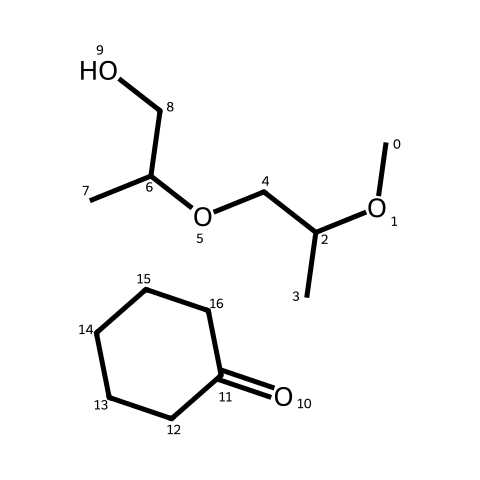 COC(C)COC(C)CO.O=C1CCCCC1